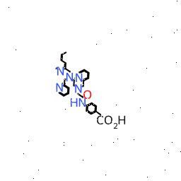 C=N/C(=C\C=C/C)CN(CCN(CC(=O)Nc1ccc(CC(=O)O)cc1)Cc1ccccn1)Cc1ccccn1